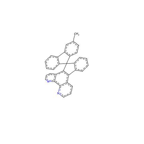 Cc1ccc2c(c1)-c1ccccc1C21c2ccccc2-c2c1c1cccnc1c1ncccc21